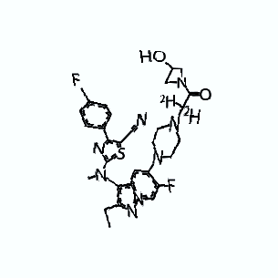 [2H]C([2H])(C(=O)N1CC(O)C1)N1CCN(c2cc3c(N(C)c4nc(-c5ccc(F)cc5)c(C#N)s4)c(CC)nn3cc2F)CC1